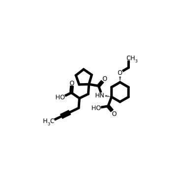 CC#CCC(CC1(C(=O)N[C@@]2(C(=O)O)CCC[C@@H](OCC)C2)CCCC1)C(=O)O